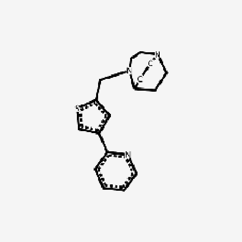 c1ccc(-c2csc(CN3CCN4CCC3CC4)c2)nc1